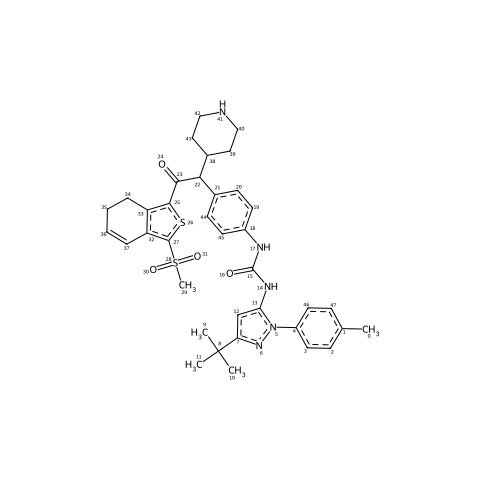 Cc1ccc(-n2nc(C(C)(C)C)cc2NC(=O)Nc2ccc(C(C(=O)c3sc(S(C)(=O)=O)c4c3CCC=C4)C3CCNCC3)cc2)cc1